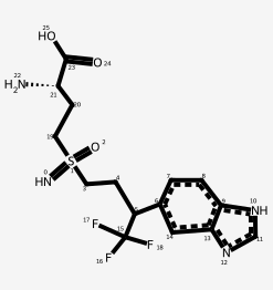 N=S(=O)(CCC(c1ccc2[nH]cnc2c1)C(F)(F)F)CC[C@H](N)C(=O)O